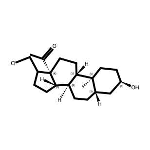 CC(=O)[C@]12CC[C@H]3[C@@H](CC[C@H]4C[C@H](O)CC[C@@]43C)[C@@H]1CCC2CCl